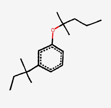 CCCC(C)(C)Oc1cccc(C(C)(C)CC)c1